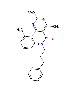 CSc1nc(C)c(C(=O)NCCCc2ccccc2)c(-c2ccccc2C)n1